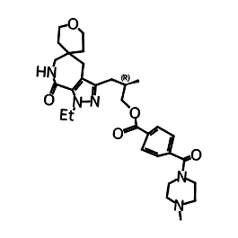 CCn1nc(C[C@@H](C)COC(=O)c2ccc(C(=O)N3CCN(C)CC3)cc2)c2c1C(=O)NCC1(CCOCC1)C2